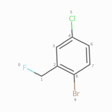 FCc1cc(Cl)ccc1Br